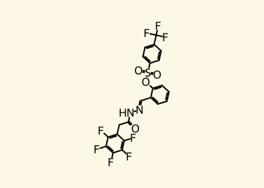 O=C(Cc1c(F)c(F)c(F)c(F)c1F)N/N=C/c1ccccc1OS(=O)(=O)c1ccc(C(F)(F)F)cc1